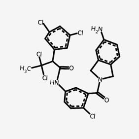 CC(Cl)(Cl)C(C(=O)Nc1ccc(Cl)c(C(=O)N2Cc3ccc(N)cc3C2)c1)c1cc(Cl)cc(Cl)c1